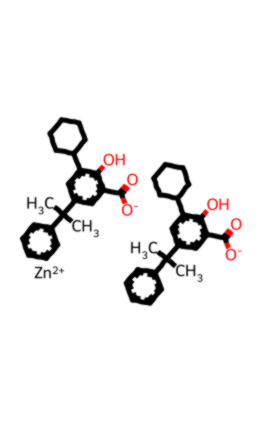 CC(C)(c1ccccc1)c1cc(C(=O)[O-])c(O)c(C2CCCCC2)c1.CC(C)(c1ccccc1)c1cc(C(=O)[O-])c(O)c(C2CCCCC2)c1.[Zn+2]